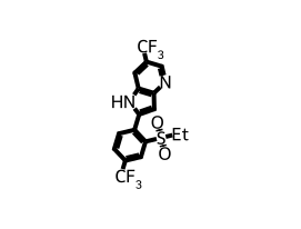 CCS(=O)(=O)c1cc(C(F)(F)F)ccc1-c1cc2ncc(C(F)(F)F)cc2[nH]1